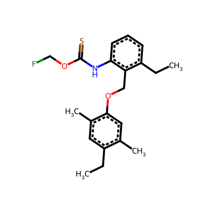 CCc1cc(C)c(OCc2c(CC)cccc2NC(=S)OCF)cc1C